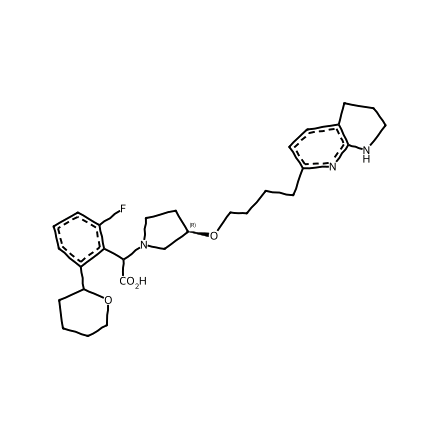 O=C(O)C(c1c(F)cccc1C1CCCCO1)N1CC[C@@H](OCCCCc2ccc3c(n2)NCCC3)C1